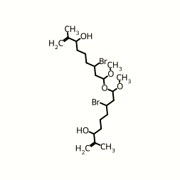 C=C(C)C(O)CCCC(Br)CC(OC)OC(CC(Br)CCCC(O)C(=C)C)OC